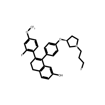 Oc1ccc2c(c1)C(c1ccc(O[C@H]3CCN(CCCF)C3)cc1)=C(c1ccc(OC(F)(F)F)cc1F)CC2